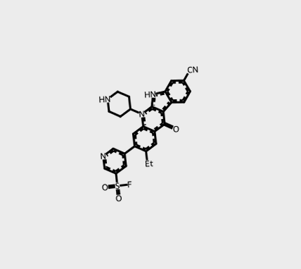 CCc1cc2c(=O)c3c4ccc(C#N)cc4[nH]c3n(C3CCNCC3)c2cc1-c1cncc(S(=O)(=O)F)c1